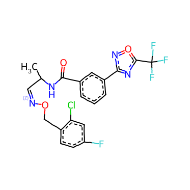 CC(/C=N\OCc1ccc(F)cc1Cl)NC(=O)c1cccc(-c2noc(C(F)(F)F)n2)c1